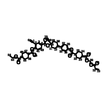 C#Cc1cc(C(=O)OC2(C#C)CCC(c3ccc(OC(=O)C4CCC(C(=O)OCOC(=O)C=C)CC4)cc3)CC2)ccc1OC(=O)C1CCC(C(=O)OCC)CC1